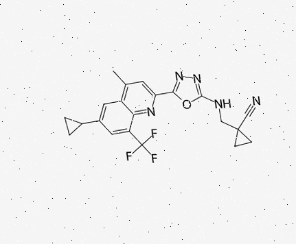 Cc1cc(-c2nnc(NCC3(C#N)CC3)o2)nc2c(C(F)(F)F)cc(C3CC3)cc12